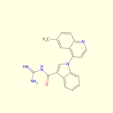 N=C(N)NC(=O)c1cn(-c2ccnc3ccc(C(F)(F)F)cc23)c2ccccc12